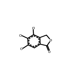 O=C1OCc2c1cc(Cl)c(Cl)c2Cl